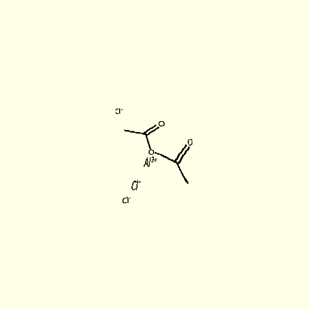 CC(=O)OC(C)=O.[Al+3].[Cl-].[Cl-].[Cl-]